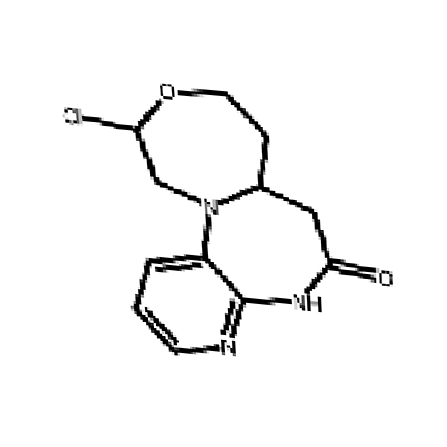 O=C1CC2CCOC(Cl)CN2c2cccnc2N1